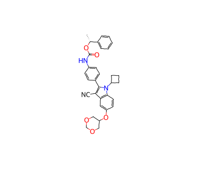 C[C@@H](OC(=O)Nc1ccc(-c2c(C#N)c3cc(OC4COCOC4)ccc3n2C2CCC2)cc1)c1ccccc1